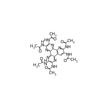 CC(=O)Nc1cc2c(nc1NC(C)=O)c1nc(NC(C)=O)c(NC(C)=O)nc1c1nc(NC(C)=O)c(NC(C)=O)nc21